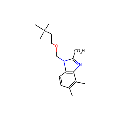 Cc1ccc2c(nc(C(=O)O)n2COCC[Si](C)(C)C)c1C